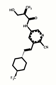 C=C(CO)C(=O)Nc1cnc(C#N)c(/C=C/[C@H]2CC[C@H](C(F)(F)F)CC2)c1